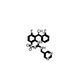 C[C@@H](c1ccccc1F)c1c(F)ccc2c1NC(NCc1cncnc1)=NS2(=O)=O